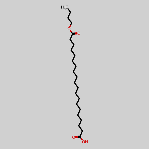 CCCCOC(=O)CCCCCCCCCCCCCCCCCCC(=O)O